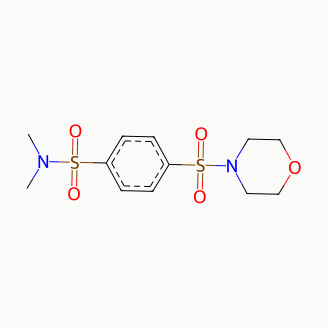 CN(C)S(=O)(=O)c1ccc(S(=O)(=O)N2CCOCC2)cc1